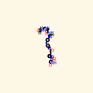 Cn1c(=O)n(C2CCC(=O)NC2=O)c2cccc(CCC(=O)N3CC4(CCN(CC5CCC(n6cc(NC(=O)c7cnn8ccc(N9C[C@H]%10C[C@@H]9CO%10)nc78)c(C(F)F)n6)CC5)CC4)C3)c21